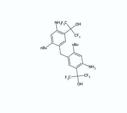 CCCCc1cc(N)c(C(O)(C(F)(F)F)C(F)(F)F)cc1Cc1cc(C(O)(C(F)(F)F)C(F)(F)F)c(N)cc1CCCC